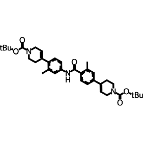 Cc1cc(C2=CCN(C(=O)OC(C)(C)C)CC2)ccc1C(=O)Nc1ccc(C2=CCN(C(=O)OC(C)(C)C)CC2)c(C)c1